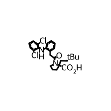 CC(C)(C)CCC1(C(=O)O)CCCN1C(=O)Cc1ccccc1Nc1c(Cl)cccc1Cl